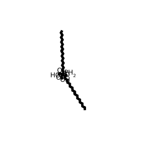 CCCCCCCCC=CCCCCCCCC(=O)N(P)C(CO)(C(=O)O)C(=O)CCCCCCCC=CCCCCCCCC